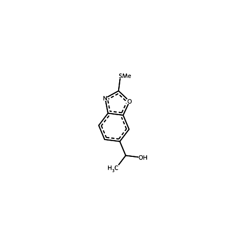 CSc1nc2ccc(C(C)O)cc2o1